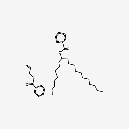 C=CCOC(=O)c1ccccc1.CCCCCCCCCCCC(CCCCCCCC)OC(=O)c1ccccc1